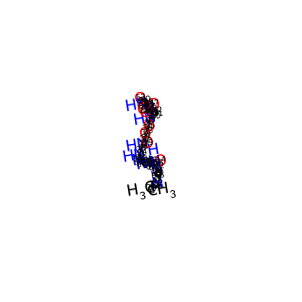 CC1(C)CCN(Cc2ccc(N3CC(=O)NC4(CCN(c5cc(NCCCNC(=O)C=COCCOCCNc6cccc7c6C(=O)N(C6CCC(=O)NC6=O)C7=O)ncn5)CC4)C3)cc2)CC1